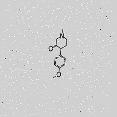 COc1ccc(C2CCN(C)CC2=O)cc1